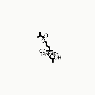 C=C(C)C(=O)OCCCC(C)(C)[N+](CC(C)O)(C(C)C)C(C)C.[Cl-]